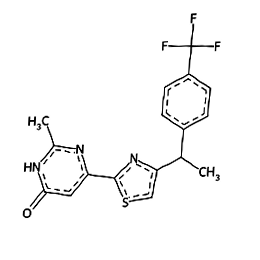 Cc1nc(-c2nc(C(C)c3ccc(C(F)(F)F)cc3)cs2)cc(=O)[nH]1